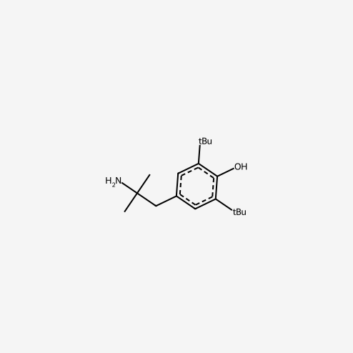 CC(C)(N)Cc1cc(C(C)(C)C)c(O)c(C(C)(C)C)c1